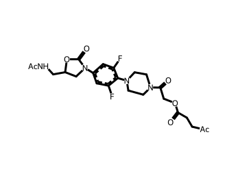 CC(=O)CCC(=O)OCC(=O)N1CCN(c2c(F)cc(N3CC(CNC(C)=O)OC3=O)cc2F)CC1